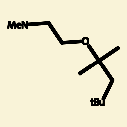 CNCCOC(C)(C)CC(C)(C)C